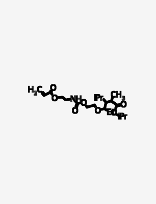 C=CC(=O)OCCNC(=O)OCCOC(CC)C(C(C)C)C(C)C(=O)OC(C)C